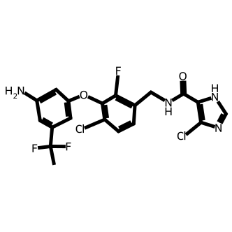 CC(F)(F)c1cc(N)cc(Oc2c(Cl)ccc(CNC(=O)c3[nH]cnc3Cl)c2F)c1